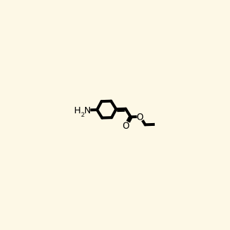 CCOC(=O)C=C1CCC(N)CC1